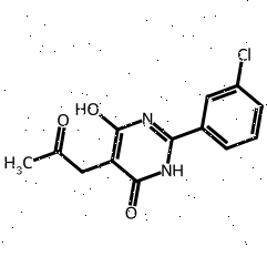 CC(=O)Cc1c(O)nc(-c2cccc(Cl)c2)[nH]c1=O